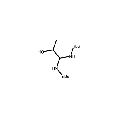 CCCCNC(NCCCC)C(C)O